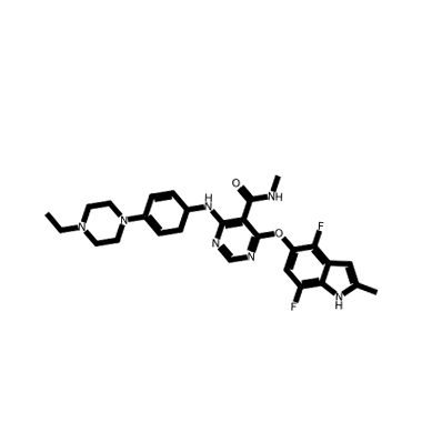 CCN1CCN(C2=CCC(Nc3ncnc(Oc4cc(F)c5[nH]c(C)cc5c4F)c3C(=O)NC)C=C2)CC1